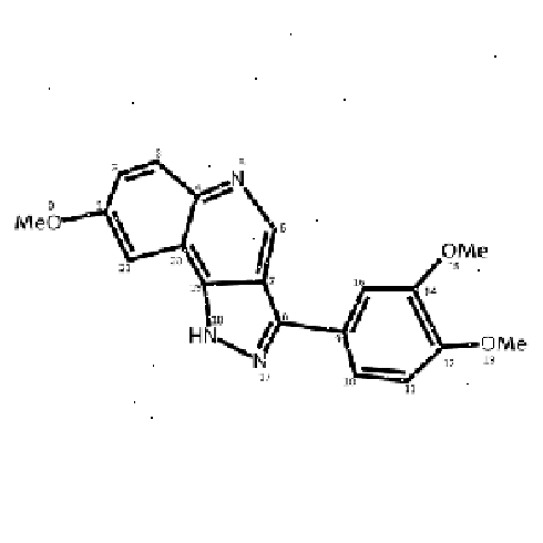 COc1ccc2ncc3c(-c4ccc(OC)c(OC)c4)n[nH]c3c2c1